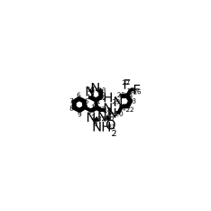 Nc1nc(-c2ccccc2)c(-c2ccnnc2)c2[nH]n(Cc3ccc(C(F)F)cn3)c(=O)[n+]12